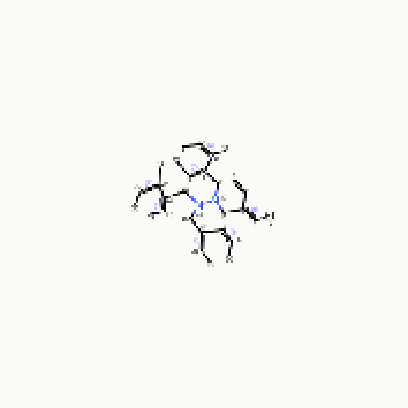 C=C/C(=C\CC)CN(CC(=C/C)/C(C)=C\C)N(CC(/C=C\C)=C/C)CC(=C/C)/C(C)=C\C